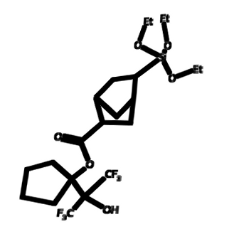 CCO[Si](OCC)(OCC)C1CC2CC1CC2C(=O)OC1(C(O)(C(F)(F)F)C(F)(F)F)CCCC1